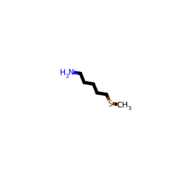 CSC[CH]CCCN